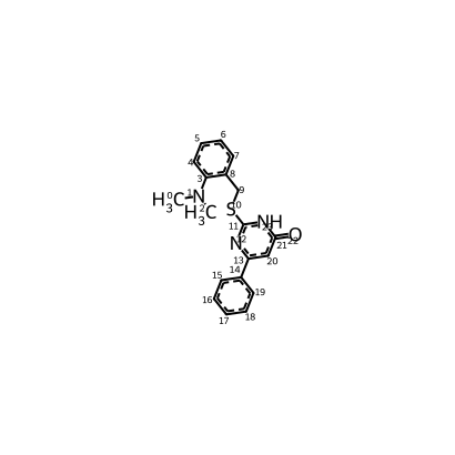 CN(C)c1ccccc1CSc1nc(-c2ccccc2)cc(=O)[nH]1